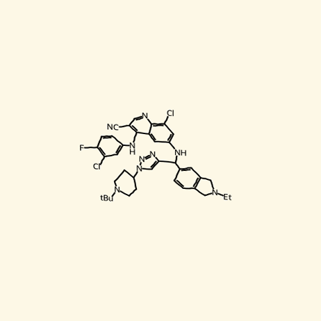 CCN1Cc2ccc(C(Nc3cc(Cl)c4ncc(C#N)c(Nc5ccc(F)c(Cl)c5)c4c3)c3cn(C4CCN(C(C)(C)C)CC4)nn3)cc2C1